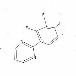 Fc1ccc(-c2ncccn2)c(F)c1F